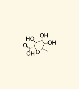 CC1O[C@H](C(=O)O)[C@@H](O)[C@H](O)[C@H]1O